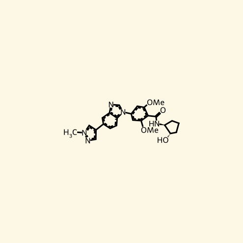 COc1cc(-n2cnc3cc(-c4cnn(C)c4)ccc32)cc(OC)c1C(=O)N[C@H]1CCC[C@@H]1O